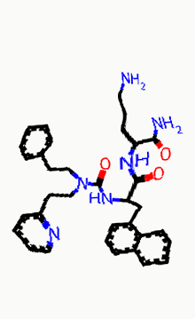 NCCCC(NC(=O)C(Cc1cccc2ccccc12)NC(=O)N(CCc1ccccc1)CCc1ccccn1)C(N)=O